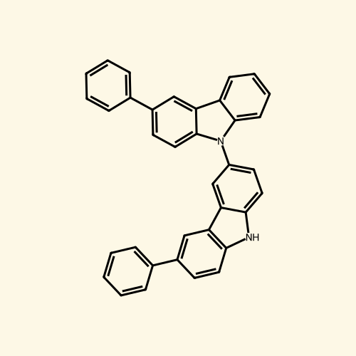 c1ccc(-c2ccc3[nH]c4ccc(-n5c6ccccc6c6cc(-c7ccccc7)ccc65)cc4c3c2)cc1